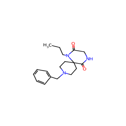 CCCN1C(=O)CNC(=O)C12CCN(Cc1ccccc1)CC2